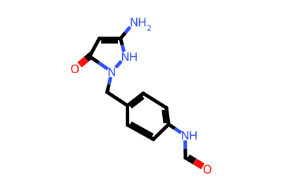 Nc1cc(=O)n(Cc2ccc(NC=O)cc2)[nH]1